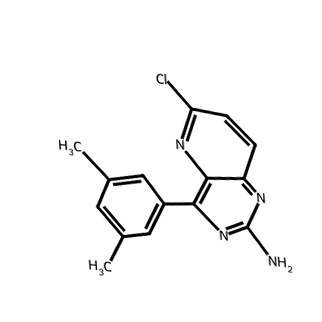 Cc1cc(C)cc(-c2nc(N)nc3ccc(Cl)nc23)c1